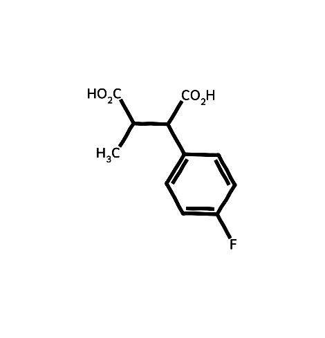 CC(C(=O)O)C(C(=O)O)c1ccc(F)cc1